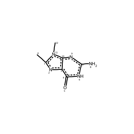 Cc1nc2c(=O)[nH]c(N)nc2n1C